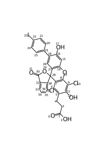 O=C(O)CCc1cc2c(c(Cl)c1O)Oc1cc(O)c(-c3ccc(I)cc3)cc1C21OC(=O)c2cccc(Cl)c21